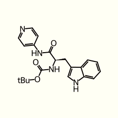 CC(C)(C)OC(=O)N[C@H](Cc1c[nH]c2ccccc12)C(=O)Nc1ccncc1